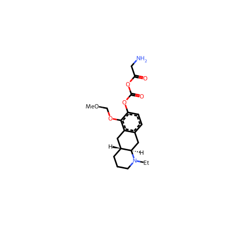 CCN1CCC[C@@H]2Cc3c(ccc(OC(=O)OC(=O)CN)c3OCOC)C[C@H]21